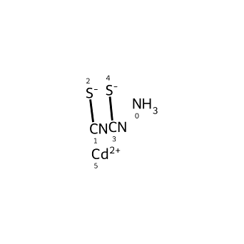 N.N#C[S-].N#C[S-].[Cd+2]